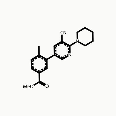 COC(=O)c1ccc(C)c(-c2cnc(N3CCCCC3)c(C#N)c2)c1